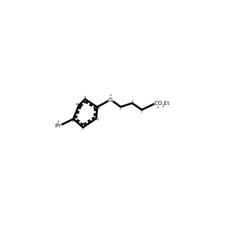 CCOC(=O)CCCOc1ccc(C(C)C)cc1